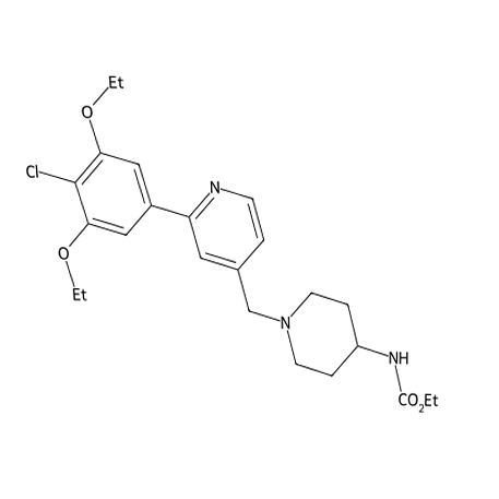 CCOC(=O)NC1CCN(Cc2ccnc(-c3cc(OCC)c(Cl)c(OCC)c3)c2)CC1